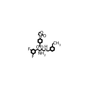 CCc1cccc(CNCC(OC(=O)c2ccc(N3CCOC3=O)cc2)C(N)Cc2cc(F)cc(F)c2)c1